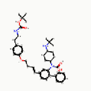 CC(C)(C)NC1CCC(N(C(=O)O)c2cc(C=CCCOc3ccc(CCNC(=O)OC(C)(C)C)cc3)ccc2-c2ccccc2)CC1